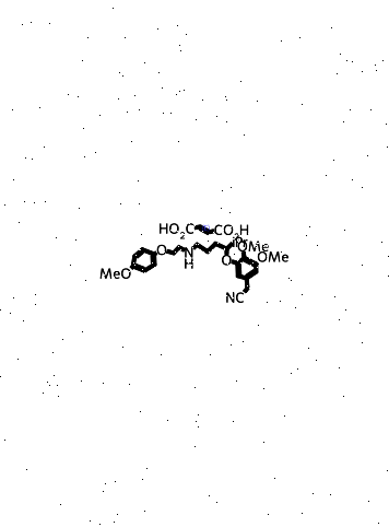 COc1ccc(OCCNCCCC(Oc2cc(CC#N)cc(OC)c2OC)C(C)C)cc1.O=C(O)/C=C/C(=O)O